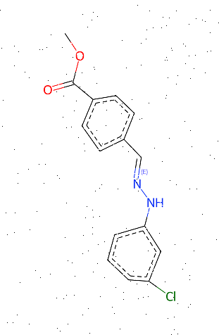 COC(=O)c1ccc(/C=N/Nc2cccc(Cl)c2)cc1